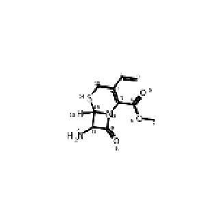 C=CC1=C(C(=O)OC)N2C(=O)C(N)[C@@H]2SC1